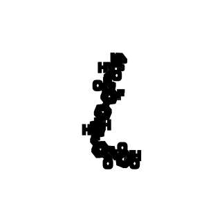 O=C1CCC(N2Cc3cc(CN4C[C@@H]5C[C@H]4CN5c4ccc(-c5cc(F)c6c(c5)C(=O)N(CC(=O)Nc5nccs5)C6)cc4)ccc3C2=O)C(=O)N1